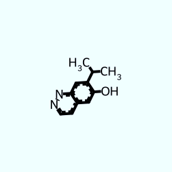 CC(C)c1cc2nnccc2cc1O